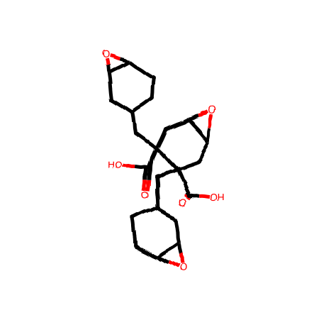 O=C(O)C1(CC2CCC3OC3C2)CC2OC2CC1(CC1CCC2OC2C1)C(=O)O